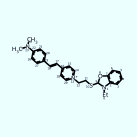 CCN1c2ccccc2OC1SCC[n+]1ccc(/C=C/c2ccc(N(C)C)cc2)cc1